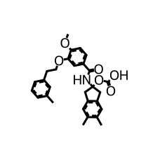 COc1ccc(C(=O)NC2(OC(=O)O)Cc3cc(C)c(C)cc3C2)cc1OCCc1cccc(C)c1